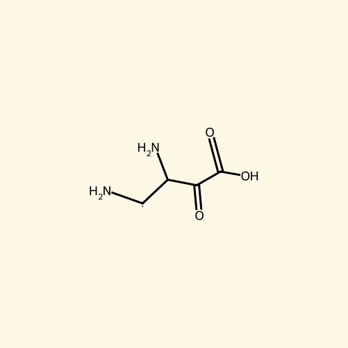 N[CH]C(N)C(=O)C(=O)O